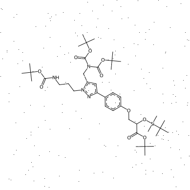 CC(C)(C)OC(=O)NCCCn1nc(-c2ccc(OCC(O[Si](C)(C)C(C)(C)C)C(=O)OC(C)(C)C)cc2)cc1CN(C(=O)OC(C)(C)C)C(=O)OC(C)(C)C